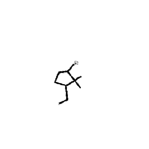 C[CH]C1CCC(CI)C1(C)C